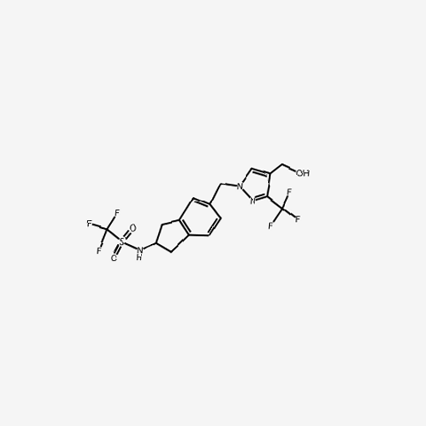 O=S(=O)(NC1Cc2ccc(Cn3cc(CO)c(C(F)(F)F)n3)cc2C1)C(F)(F)F